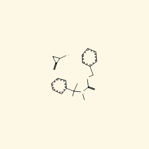 CN(C(=O)OCc1ccccc1)C(C)(C(=O)O)c1ccccc1.NC1CC1=O